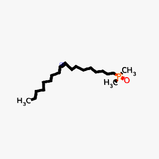 CCCCCCCC/C=C\CCCCCCCCP(C)(C)=O